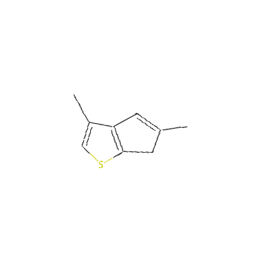 CC1=Cc2c(C)csc2C1